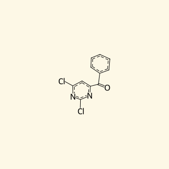 O=C(c1ccccc1)c1cc(Cl)nc(Cl)n1